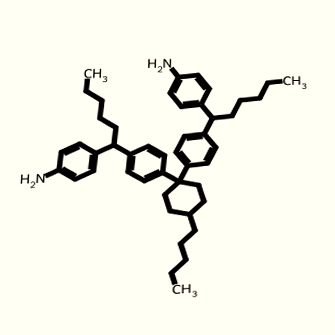 CCCCCC1CCC(c2ccc(C(CCCCC)c3ccc(N)cc3)cc2)(c2ccc(C(CCCCC)c3ccc(N)cc3)cc2)CC1